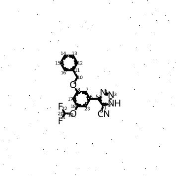 N#Cc1[nH]nnc1-c1cc(OCc2ccccc2)cc(OC(F)F)c1